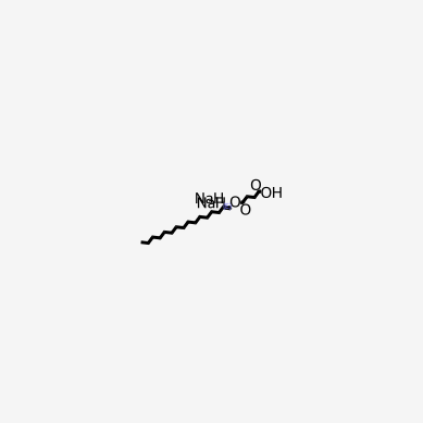 CCCCCCCCCCCCCC/C=C/OC(=O)CCC(=O)O.[NaH].[NaH]